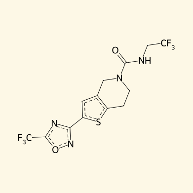 O=C(NCC(F)(F)F)N1CCc2sc(-c3noc(C(F)(F)F)n3)cc2C1